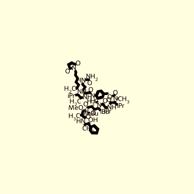 C=C(CCCCCN1C(=O)C=CC1=O)NC(C(=C)N[C@@H](CCCNC(N)=O)C(=O)Nc1ccc(COC(=O)N(C)C(C(=O)N[C@H](C(=O)N(C)C(C(C)CC)C(CC(=O)N(CCCC)C(OC)C(C)C(=O)NC(C)C(O)c2ccccc2)OC)C(C)C)C(C)C)cc1)C(C)C